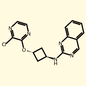 Clc1nccnc1O[C@H]1C[C@H](Nc2ncc3ccccc3n2)C1